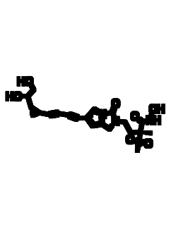 C[C@@](CCN1Cc2cc(C#CC#CC3C[C@@H]3[C@@H](O)CO)cn2C1=O)(C(=O)NO)S(C)(=O)=O